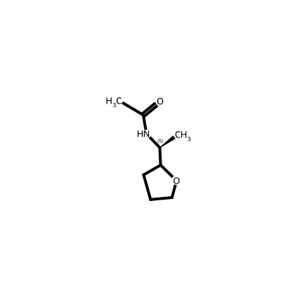 CC(=O)N[C@@H](C)C1CCCO1